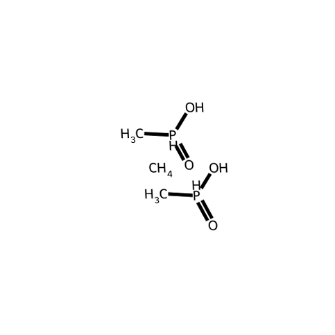 C.C[PH](=O)O.C[PH](=O)O